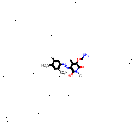 CCn1c(O)c(N=Nc2cc(C)c(S(=O)(=O)O)cc2S(=O)(=O)O)c(C)c(OCN)c1=O